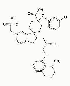 C[C@@H](COc1ccnc2c1[C@H](C)CCC2)CC1Cc2ccc(CS(=O)(=O)O)cc2C12CCC(Nc1cccc(Cl)c1)(C(=O)O)CC2